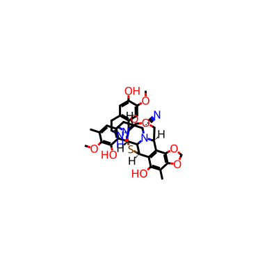 COc1cc2c(cc1O)CCN[C@]21CS[C@@H]2c3c(O)c(C)c4c(c3[C@H](COC1=O)N1C2[C@@H]2c3c(cc(C)c(OC)c3O)C[C@H]([C@@H]1C#N)N2C)OCO4